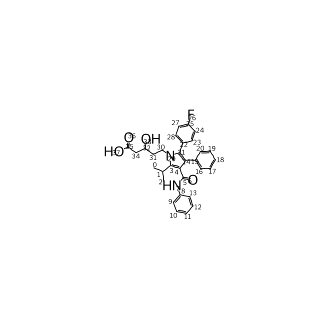 CC(C)c1c(C(=O)Nc2ccccc2)c(-c2ccccc2)c(-c2ccc(F)cc2)n1CC[C@H](O)CC(=O)O